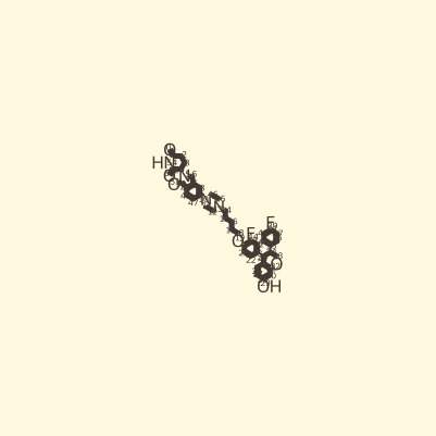 O=C1CCC(N2Cc3cc(N4CCN(CCCCCOc5ccc([C@@H]6c7ccc(O)cc7OC[C@@H]6c6ccc(F)cc6)cc5F)CC4)ccc3C2=O)C(=O)N1